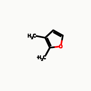 [CH2]c1occc1C